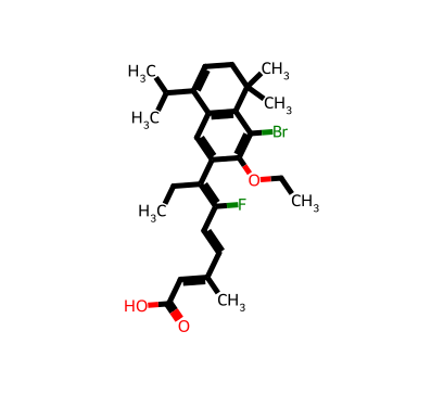 CCOc1c(C(CC)=C(F)C=CC(C)=CC(=O)O)cc2c(c1Br)C(C)(C)CC=C2C(C)C